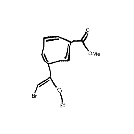 CCOC(=CBr)c1cccc(C(=O)OC)c1